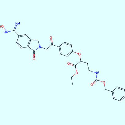 CCOC(=O)C(CCNC(=O)OCc1ccccc1)Oc1ccc(C(=O)CN2Cc3cc(C(=N)NO)ccc3C2=O)cc1